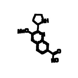 COc1cc2ccc(C(=O)N=O)cc2nc1C1CCCN1